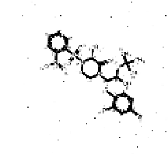 C[C@H]1C(=O)N([C@@H](Cc2ccc(Br)cc2F)C(O)OC(C)(C)C)CCN1S(=O)(=O)c1ccccc1[N+](=O)[O-]